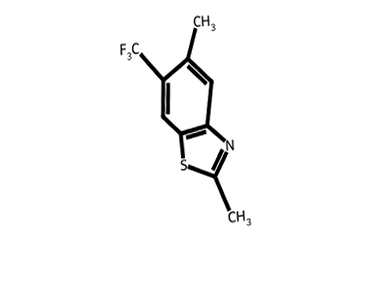 Cc1nc2cc(C)c(C(F)(F)F)cc2s1